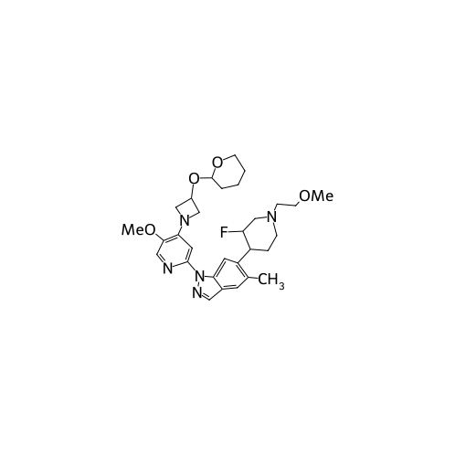 COCCN1CCC(c2cc3c(cnn3-c3cc(N4CC(OC5CCCCO5)C4)c(OC)cn3)cc2C)C(F)C1